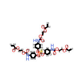 C=CC(=O)OCCOC(=O)Nc1ccc(OP(=S)(Oc2ccc(NC(=O)OCCOC(=O)C=C)cc2)Oc2ccc(NC(=O)OCCOC(=O)C=C)cc2)cc1